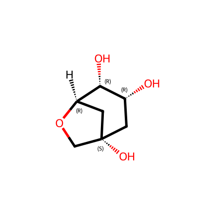 O[C@@H]1[C@H](O)C[C@@]2(O)CO[C@@H]1C2